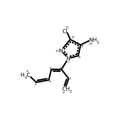 C=C/C(=C\C=C/C)n1cc(N)c(Cl)n1